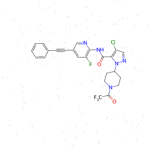 O=C(Nc1ncc(C#Cc2ccccc2)cc1F)c1c(Cl)cnn1C1CCN(C(=O)C(F)(F)F)CC1